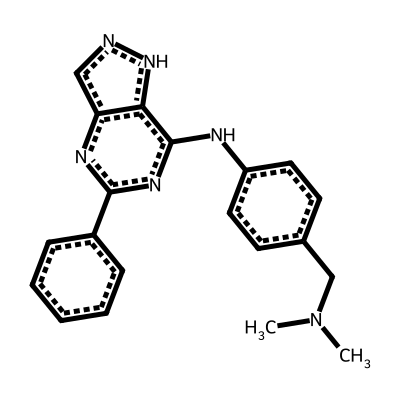 CN(C)Cc1ccc(Nc2nc(-c3ccccc3)nc3cn[nH]c23)cc1